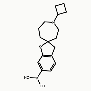 OB(O)c1ccc2c(c1)OC1(CCCN(C3CCC3)CC1)C2